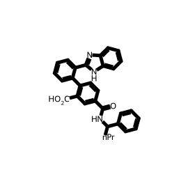 CCCC(NC(=O)c1ccc(-c2ccccc2-c2nc3ccccc3[nH]2)c(C(=O)O)c1)c1ccccc1